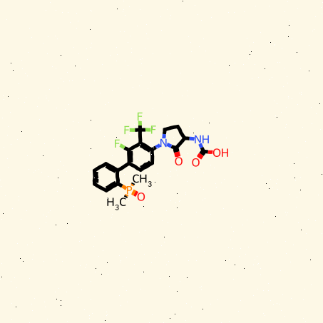 CP(C)(=O)c1ccccc1-c1ccc(N2CCC(NC(=O)O)C2=O)c(C(F)(F)F)c1F